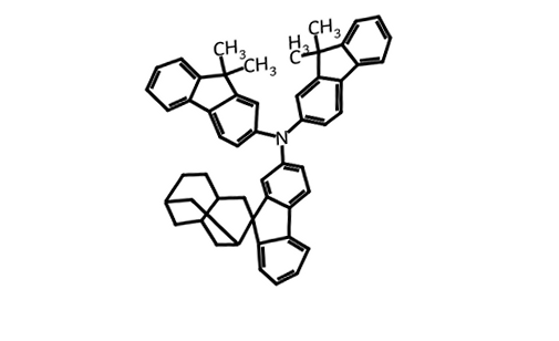 CC1(C)c2ccccc2-c2ccc(N(c3ccc4c(c3)C(C)(C)c3ccccc3-4)c3ccc4c(c3)C3(CC5CCC6CC5CC3C6)c3ccccc3-4)cc21